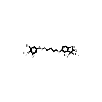 CC1(C)C(=O)Nc2ccc(OCCCC=NOSc3cc(Br)c(N)c(Br)c3)cc21